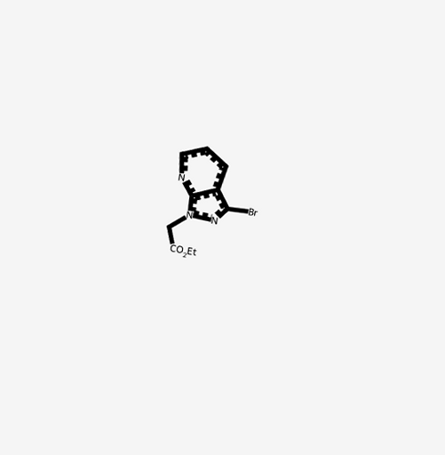 CCOC(=O)Cn1nc(Br)c2cccnc21